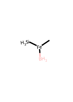 [BH2][Fe]([CH3])[SiH3]